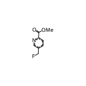 COC(=O)c1ccc(CF)cn1